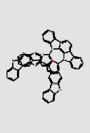 c1cc(-c2cnc3nccnc3n2)nc(-n2c3ccccc3c3ccc4c5ccccc5n(-c5nc(-c6ccc7oc8ccccc8c7c6)cc(-c6ccc7oc8ccccc8c7c6)n5)c4c32)c1